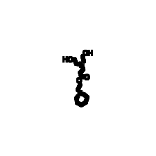 O=C(CCN(CCO)CCO)OCCN1CCCCCC1